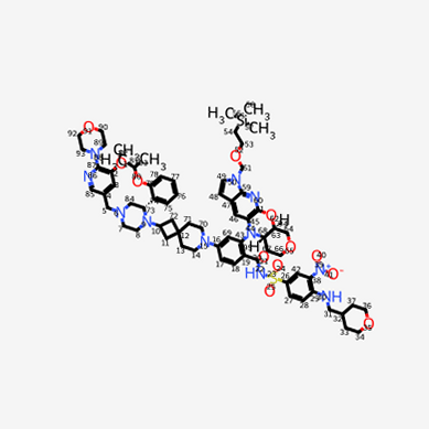 COc1cc(CN2CCN(C3CC4(CCN(c5ccc(C(=O)NS(=O)(=O)c6ccc(NCC7CCOCC7)c([N+](=O)[O-])c6)c(N6c7cc8ccn(COCC[Si](C)(C)C)c8nc7O[C@H]7COCC[C@@H]76)c5)CC4)C3)[C@@H](c3ccccc3OC(C)C)C2)cnc1N1CCOCC1